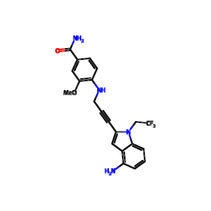 COc1cc(C(N)=O)ccc1NCC#Cc1cc2c(N)cccc2n1CC(F)(F)F